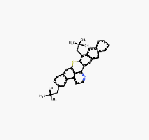 CC(C)(C)Cc1ccc2cc3c4c(nccc4c2c1)-c1cc2cc4ccccc4cc2c(CC(C)(C)C)c1S3